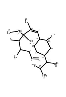 C=CCC(CC)C(C)C(N)(NCC)/C(=C\C1CCC(C(CCC)C(F)CCC)CC1F)CC